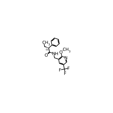 CC[C@H](C(=O)NCc1cc(C(F)(F)F)cnc1OC)c1ccccc1